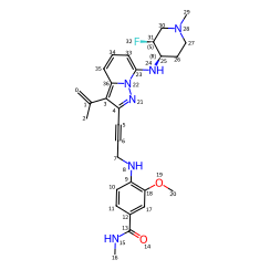 C=C(C)c1c(C#CCNc2ccc(C(=O)NC)cc2OC)nn2c(N[C@@H]3CCN(C)C[C@@H]3F)cccc12